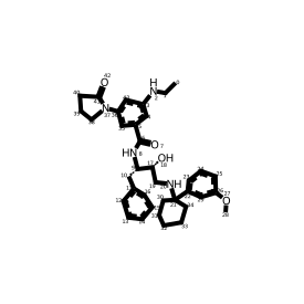 CCNc1cc(C(=O)N[C@@H](Cc2ccccc2)[C@H](O)CNC2(c3cccc(OC)c3)CCCCC2)cc(N2CCCC2=O)c1